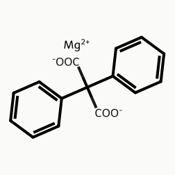 O=C([O-])C(C(=O)[O-])(c1ccccc1)c1ccccc1.[Mg+2]